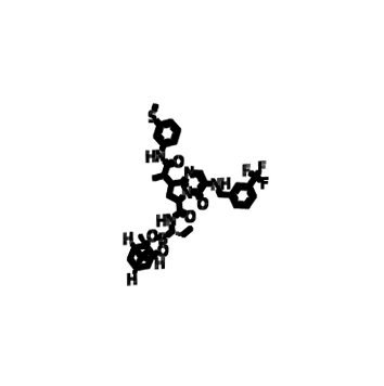 CC[C@@H](NC(=O)C1CC(C(C)C(=O)Nc2cccc(SC)c2)c2ncc(NCc3cccc(C(F)(F)F)c3)c(=O)n21)B1O[C@@H]2C[C@@H]3C[C@@H](C3(C)C)[C@]2(C)O1